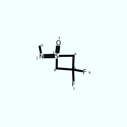 CN=S1(=O)CC(F)(F)C1